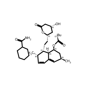 CC[C@H](C)C(=O)O[C@H]1C[C@@H](C)C=C2C=C[C@H](C)[C@H](CC[C@H]3C[C@@H](O)CC(=O)O3)[C@H]21.NC(=O)C1CCCCC1